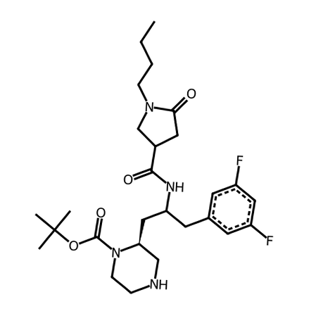 CCCCN1CC(C(=O)NC(Cc2cc(F)cc(F)c2)C[C@H]2CNCCN2C(=O)OC(C)(C)C)CC1=O